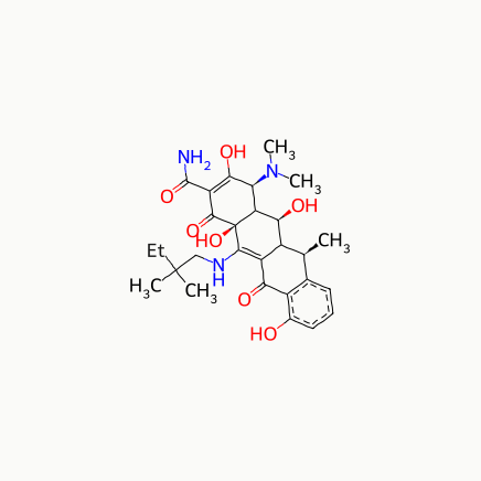 CCC(C)(C)CNC1=C2C(=O)c3c(O)cccc3[C@H](C)C2[C@H](O)C2[C@H](N(C)C)C(O)=C(C(N)=O)C(=O)[C@@]12O